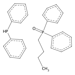 CCCCP(=O)(c1ccccc1)c1ccccc1.c1ccc(Pc2ccccc2)cc1